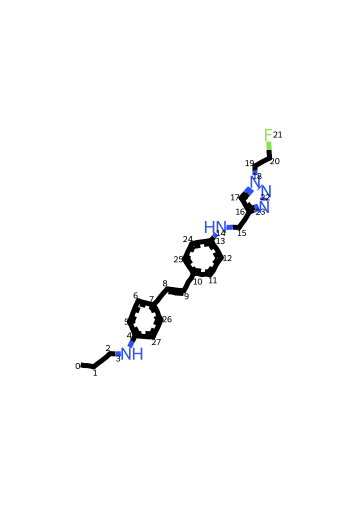 CCCNc1ccc(/C=C/c2ccc(NCc3cn(CCF)nn3)cc2)cc1